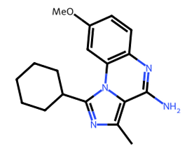 COc1ccc2nc(N)c3c(C)nc(C4CCCCC4)n3c2c1